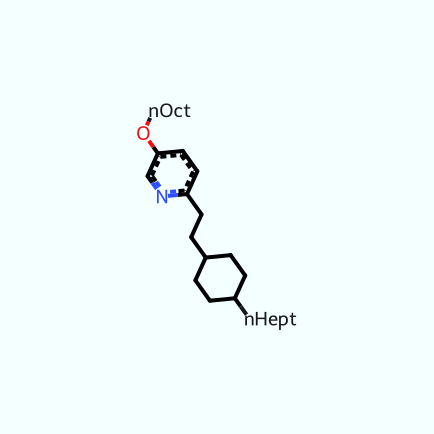 CCCCCCCCOc1ccc(CCC2CCC(CCCCCCC)CC2)nc1